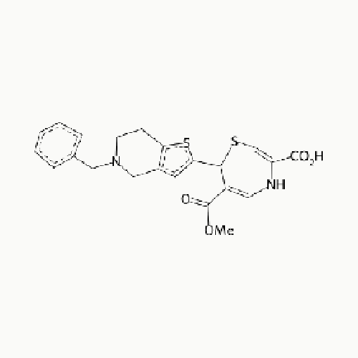 COC(=O)C1=CNC(C(=O)O)=CSC1c1cc2c(s1)CCN(Cc1ccccc1)C2